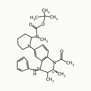 CC(=O)N1c2ccc(N3CCCCC3N(C)C(=O)OC(C)(C)C)cc2[C@H](Nc2ccccc2)C(C)[C@@H]1C